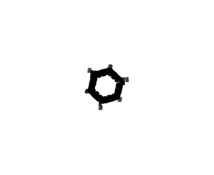 c1ncpcn1